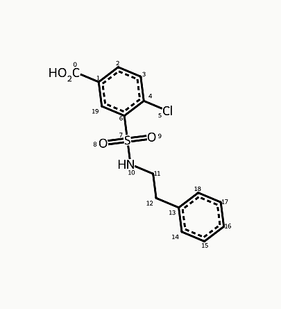 O=C(O)c1ccc(Cl)c(S(=O)(=O)NCCc2ccccc2)c1